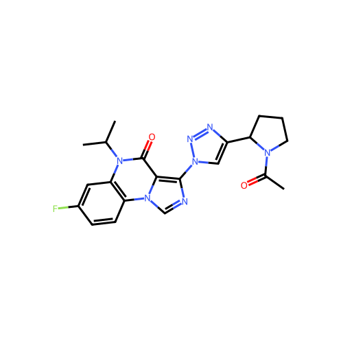 CC(=O)N1CCCC1c1cn(-c2ncn3c2c(=O)n(C(C)C)c2cc(F)ccc23)nn1